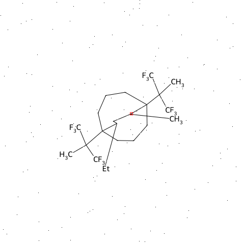 CCC1CCC(C)C2(C(C)(C(F)(F)F)C(F)(F)F)CCCC1(C(C)(C(F)(F)F)C(F)(F)F)CCC2